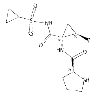 O=C(N[C@]1(C(=O)NS(=O)(=O)C2CC2)C[C@H]1I)[C@@H]1CCCN1